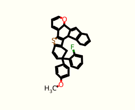 COc1ccc(C2(c3ccccc3F)C=Cc3sc4c(c3C2)C2C(=CC3=C2CC=CC3)C2OC=CC=C42)cc1